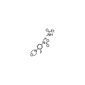 CCC(=O)NC[C@H]1CN(c2ccc(N3CCOCC3)c(F)c2)C(=O)O1